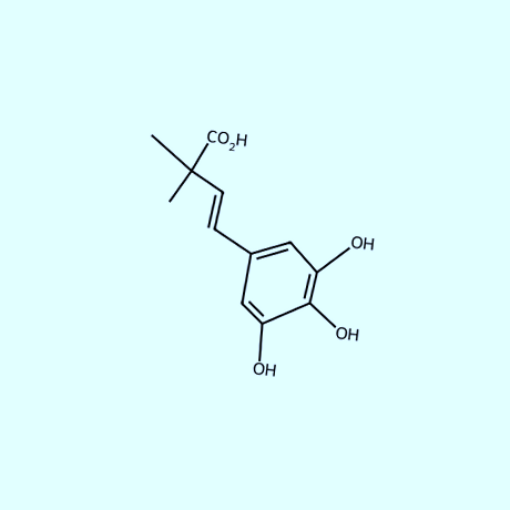 CC(C)(C=Cc1cc(O)c(O)c(O)c1)C(=O)O